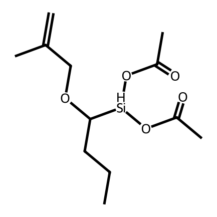 C=C(C)COC(CCC)[SiH](OC(C)=O)OC(C)=O